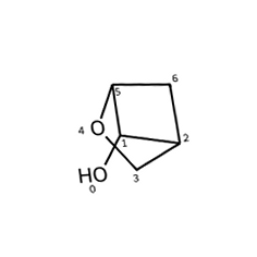 OC1C2COC1C2